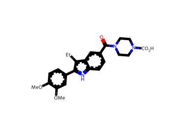 CCc1c(-c2ccc(OC)c(OC)c2)[nH]c2ccc(C(=O)N3CCN(C(=O)O)CC3)cc12